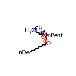 CCCCCCCCCCCCCCCCCCC(=O)OCC(OC(=O)CCCN(C)C)C(CCCC)CCCCC